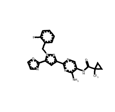 Nc1nc(-c2cc(-c3ncco3)n(Cc3ccccc3F)n2)ncc1NC(=O)C1(C(F)(F)F)CC1